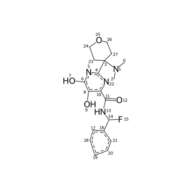 CN(C)C1(c2nc(O)c(O)c(C(=O)NC(F)c3ccccc3)n2)CCOCC1